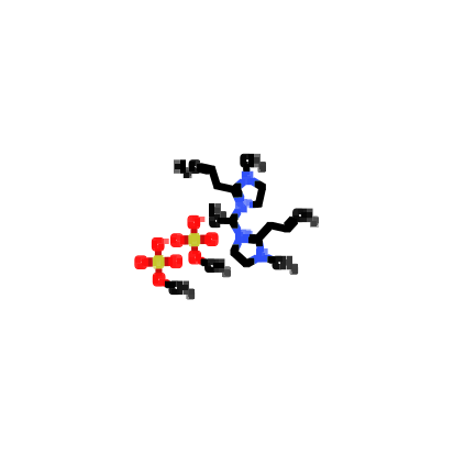 C=CCC1=[N+](C(C)[N+]2=C(CC=C)N(C)CC2)CCN1C.COS(=O)(=O)[O-].COS(=O)(=O)[O-]